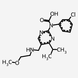 COCCNCc1cnc(N(C(=O)O)c2cccc(Cl)c2)nc1C(C)C